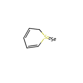 [Se]=S1C=CC=CC1